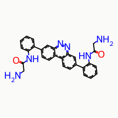 NCC(=O)Nc1ccccc1-c1ccc2c(c1)nnc1cc(-c3ccccc3NC(=O)CN)ccc12